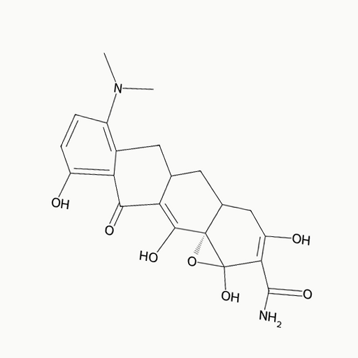 CN(C)c1ccc(O)c2c1CC1CC3CC(O)=C(C(N)=O)C4(O)O[C@]34C(O)=C1C2=O